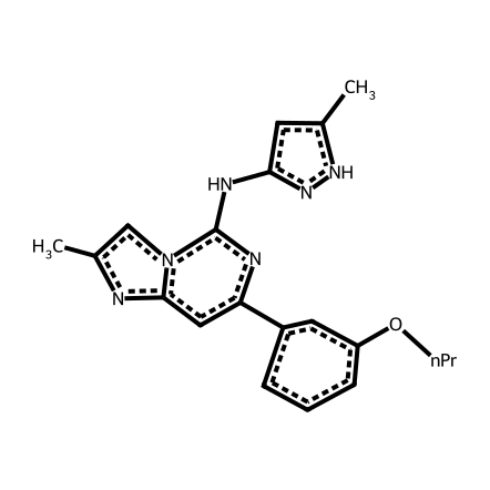 CCCOc1cccc(-c2cc3nc(C)cn3c(Nc3cc(C)[nH]n3)n2)c1